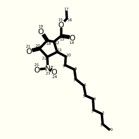 CCCCCCCCCCCC1C(C(=O)OCC)C(=O)C(=O)C1[N+](=O)[O-]